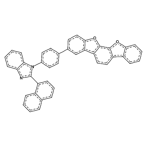 c1ccc2c(-c3nc4ccccc4n3-c3ccc(-c4ccc5oc6c(ccc7c8ccccc8oc76)c5c4)cc3)cccc2c1